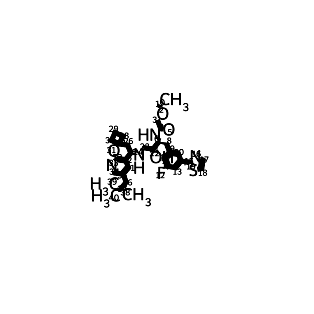 CCOCC(=O)N[C@@H](Cc1cc(F)cc(-c2nccs2)c1)[C@H](O)CN[C@H]1CC2(CCC2)Oc2ncc(CC(C)(C)C)cc21